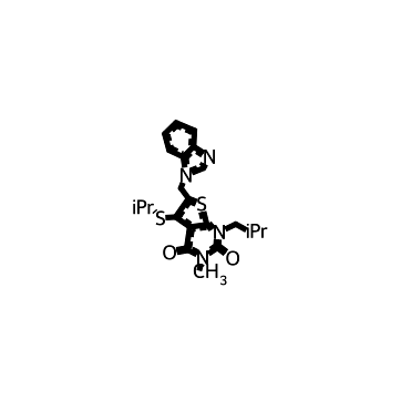 CC(C)Cn1c(=O)n(C)c(=O)c2c(SC(C)C)c(Cn3cnc4ccccc43)sc21